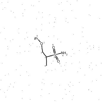 CC(C)OCC(C)S(N)(=O)=O